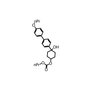 CCCOC(=O)OC1CCC(O)(c2ccc(-c3ccc(OCCC)cc3)cc2)CC1